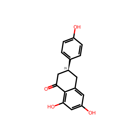 O=C1C[C@@H](c2ccc(O)cc2)Cc2cc(O)cc(O)c21